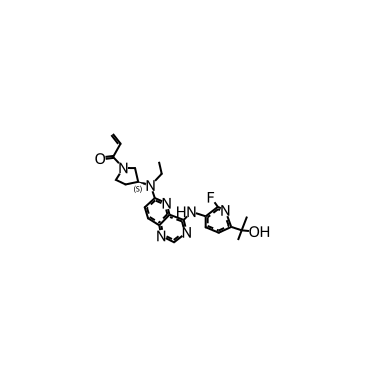 C=CC(=O)N1CC[C@H](N(CC)c2ccc3ncnc(Nc4ccc(C(C)(C)O)nc4F)c3n2)C1